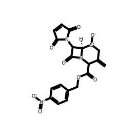 C=C1C[S+]([O-])[C@@H]2C(N3C(=O)C=CC3=O)C(=O)N2C1C(=O)OCc1ccc([N+](=O)[O-])cc1